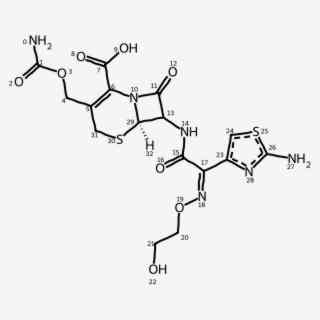 NC(=O)OCC1=C(C(=O)O)N2C(=O)C(NC(=O)/C(=N\OCCO)c3csc(N)n3)[C@H]2SC1